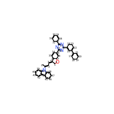 C/C(=C\C=C1/COC2C=C(c3nc(C4=CC(C5=CCCC=C5)=CCC4)nc(C4C=CC=CC4)n3)C=CC12)n1c2ccccc2c2ccccc21